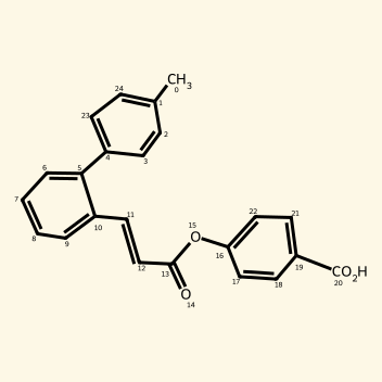 Cc1ccc(-c2ccccc2C=CC(=O)Oc2ccc(C(=O)O)cc2)cc1